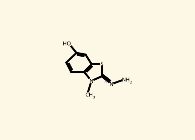 Cn1/c(=N/N)sc2cc(O)ccc21